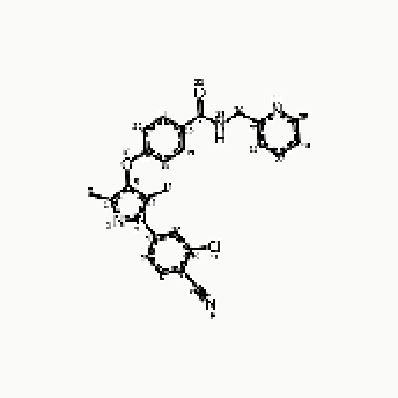 Cc1nn(-c2ccc(C#N)c(Cl)c2)c(C)c1Oc1ccc(C(=O)NCc2ccccn2)cc1